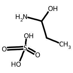 CCC(N)O.O=S(=O)(O)O